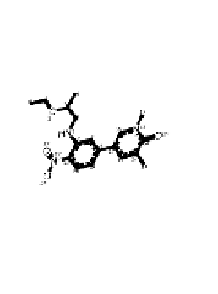 CCOC(C)CNc1cc(-c2cc(C)c(=O)n(C)c2)ccc1[N+](=O)[O-]